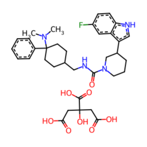 CN(C)C1(c2ccccc2)CCC(CNC(=O)N2CCCC(c3c[nH]c4ccc(F)cc34)C2)CC1.O=C(O)CC(O)(CC(=O)O)C(=O)O